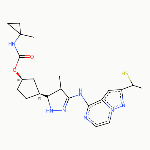 CC(S)c1cc2c(NC3=NNC([C@H]4CC[C@@H](OC(=O)NC5(C)CC5)C4)C3C)nccn2n1